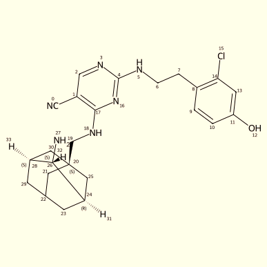 N#Cc1cnc(NCCc2ccc(O)cc2Cl)nc1NC[C@]12CC3C[C@H](C1)[C@@H](N)[C@@H](C3)C2